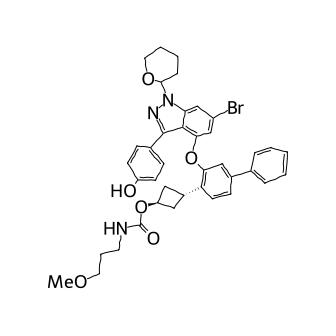 COCCCNC(=O)O[C@H]1C[C@H](c2ccc(-c3ccccc3)cc2Oc2cc(Br)cc3c2c(-c2ccc(O)cc2)nn3C2CCCCO2)C1